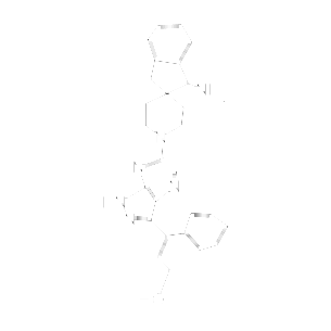 NC1c2ccccc2CC12CCN(c1cnc3c(C(=CCO)c4ccccc4)n[nH]c3n1)CC2